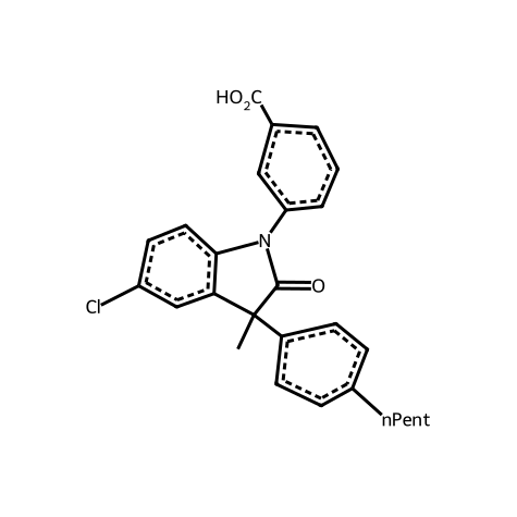 CCCCCc1ccc(C2(C)C(=O)N(c3cccc(C(=O)O)c3)c3ccc(Cl)cc32)cc1